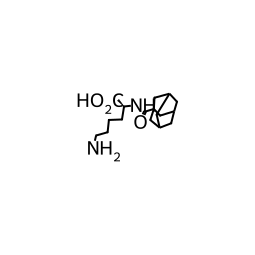 NCCCC[C@H](NC(=O)C12CC3CC(CC(C3)C1)C2)C(=O)O